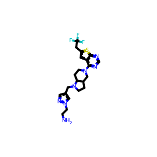 NCCn1cc(CN2CCC3CN(c4ncnc5sc(CC(F)(F)F)cc45)CCC32)cn1